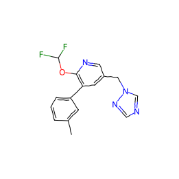 Cc1cccc(-c2cc(Cn3cncn3)cnc2OC(F)F)c1